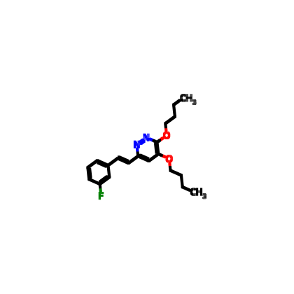 CCCCOc1cc(/C=C/c2cccc(F)c2)nnc1OCCCC